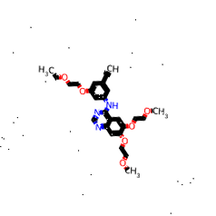 C#Cc1cc(Nc2ncnc3cc(OCCOC)c(OCCOC)cc23)cc(OCCOCC)c1